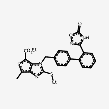 CCOC(=O)c1sc(C)c2nc(SCC)n(Cc3ccc(-c4ccccc4-c4noc(=O)[nH]4)cc3)c12